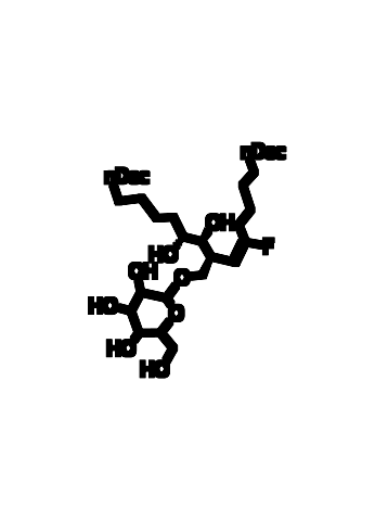 CCCCCCCCCCCCCC/C(F)=C\[C@@H](COC1OC(CO)C(O)C(O)C1O)[C@H](O)[C@H](O)CCCCCCCCCCCCCC